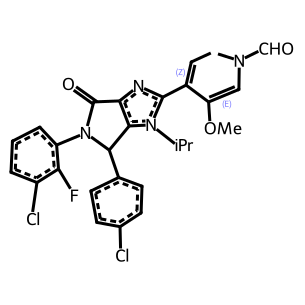 C/C=C(\C(=C/N(C)C=O)OC)c1nc2c(n1C(C)C)C(c1ccc(Cl)cc1)N(c1cccc(Cl)c1F)C2=O